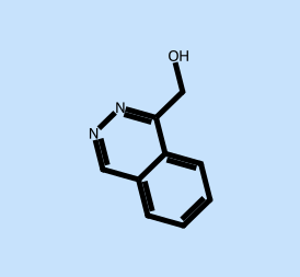 OCc1nncc2ccccc12